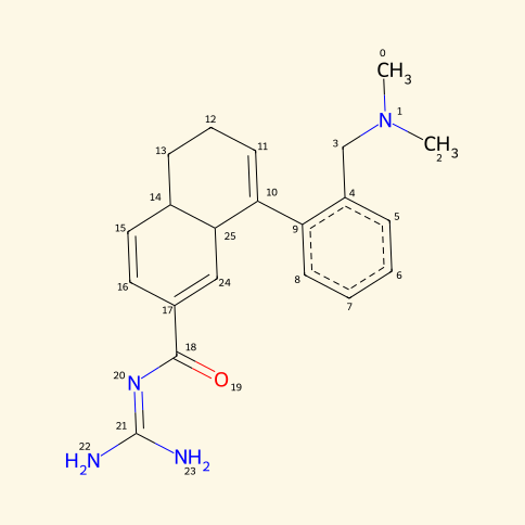 CN(C)Cc1ccccc1C1=CCCC2C=CC(C(=O)N=C(N)N)=CC12